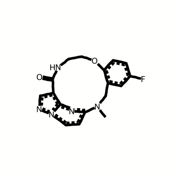 CN1Cc2cc(F)ccc2OCCNC(=O)c2cnn3ccc1nc23